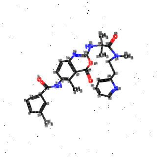 Cc1c(NC(=O)c2cccc(C(F)(F)F)c2)ccc2nc(NC(C)(C)C(=O)N(C)CCc3ccccn3)oc(=O)c12